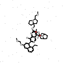 CCc1cccc2cc(OCOC)cc(-c3ncc4c(N5CC6CCC(C5)N6C(=O)OC(C)(C)C)nc(OCC56CCCN5C(COC)CC6)nc4c3F)c12